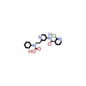 O=C(Nc1ccnc(CCN(C(=O)O)c2ccccc2)c1)c1cccnc1Cl